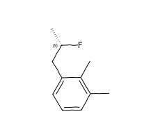 Cc1cccc(C[C@H](C)F)c1C